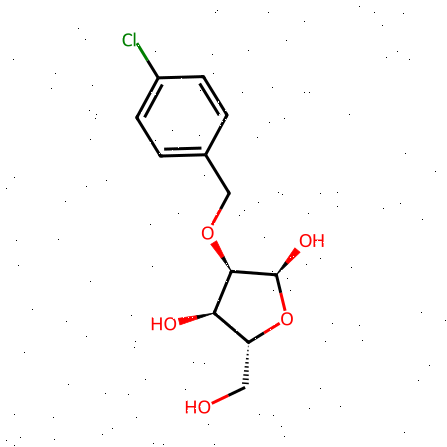 OC[C@H]1O[C@H](O)[C@H](OCc2ccc(Cl)cc2)[C@@H]1O